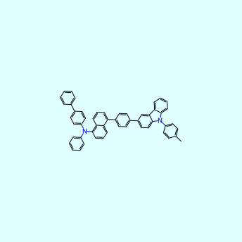 Cc1ccc(-n2c3ccccc3c3cc(-c4ccc(-c5cccc6c(N(c7ccccc7)c7ccc(-c8ccccc8)cc7)cccc56)cc4)ccc32)cc1